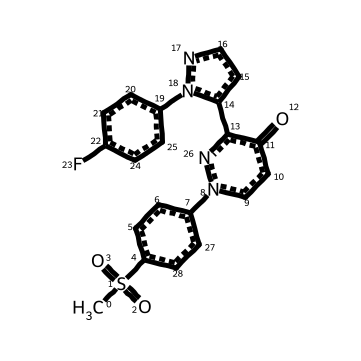 CS(=O)(=O)c1ccc(-n2ccc(=O)c(-c3ccnn3-c3ccc(F)cc3)n2)cc1